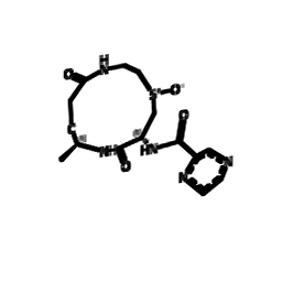 C[C@H]1CCC(=O)NCC[S+]([O-])C[C@H](NC(=O)c2cnccn2)C(=O)N1